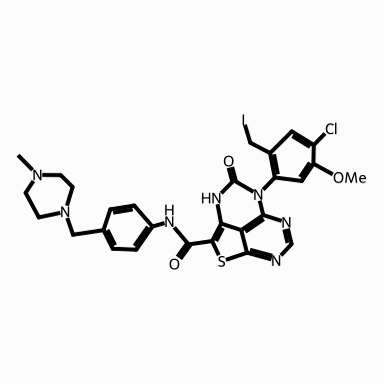 COc1cc(N2C(=O)Nc3c(C(=O)Nc4ccc(CN5CCN(C)CC5)cc4)sc4ncnc2c34)c(CI)cc1Cl